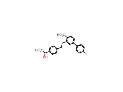 O=C(O)c1ccc(-c2ccc(F)cc2)cc1CCc1ccc(C(O)C(=O)O)cc1